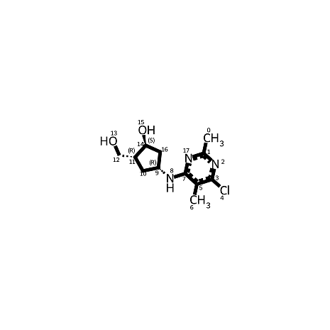 Cc1nc(Cl)c(C)c(N[C@@H]2C[C@H](CO)[C@@H](O)C2)n1